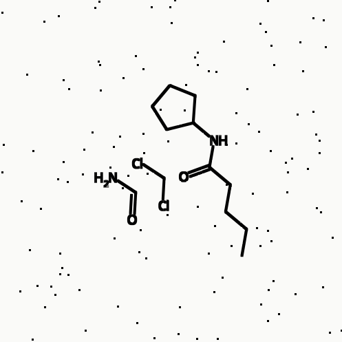 CCCCC(=O)NC1CCCC1.ClCCl.NC=O